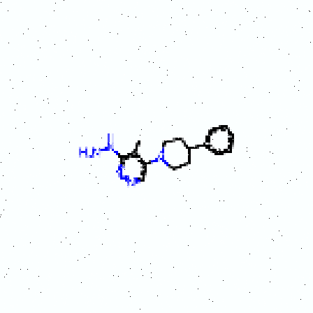 Cc1c(N2CCC(c3ccccc3)CC2)cnnc1NN